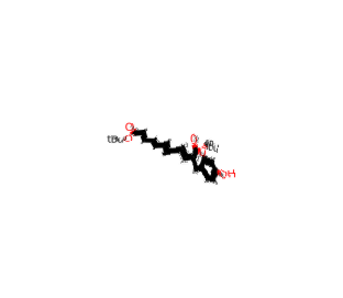 CC(C)(C)OC(=O)CCCCCCCCC(Cc1ccc(O)cc1)C(=O)OC(C)(C)C